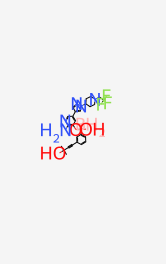 BC(O)(Oc1cc(-c2cnn(C3CCN(CC(F)(F)F)CC3)c2)cnc1N)c1cccc(C#CC(C)(C)O)c1